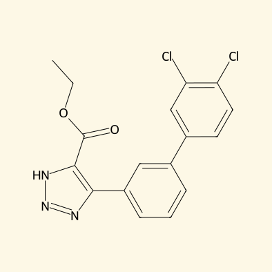 CCOC(=O)c1[nH]nnc1-c1cccc(-c2ccc(Cl)c(Cl)c2)c1